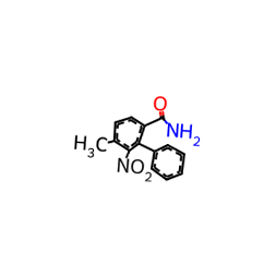 Cc1ccc(C(N)=O)c(-c2ccccc2)c1[N+](=O)[O-]